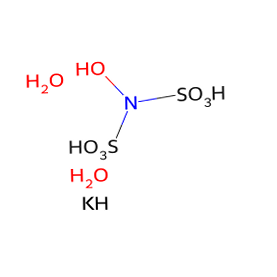 O.O.O=S(=O)(O)N(O)S(=O)(=O)O.[KH]